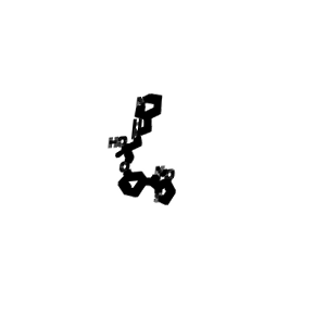 C[C@@](O)(CNCc1cccnc1)COc1cccc(-c2noc3ccsc23)c1